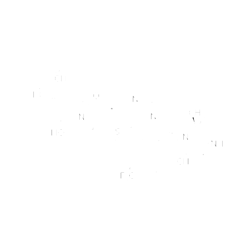 Cc1cc(C(F)(F)F)cc(-c2ncnc3cc(CN4C(=O)C5C(C4O)C5(C)C)sc23)c1CN1CCNC[C@@H]1C